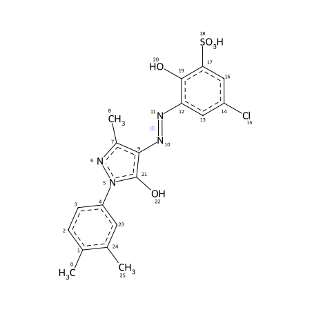 Cc1ccc(-n2nc(C)c(/N=N/c3cc(Cl)cc(S(=O)(=O)O)c3O)c2O)cc1C